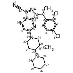 CC(c1ccc(Cl)cc1Cl)n1nc(C#N)c2ncc(N3CCC(N4CCCCC4)[C@@H](C)C3)nc21